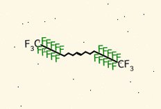 FC(F)(F)C(F)(F)C(F)(F)C(F)(F)C(F)(F)C(F)(F)CCCC=CCCCC(F)(F)C(F)(F)C(F)(F)C(F)(F)C(F)(F)C(F)(F)F